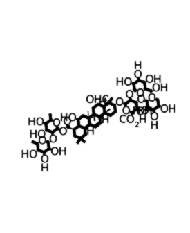 CC1OC(OC2C(OC(=O)[C@@H]3CC(C)(C)C[C@@H]4C3[C@H](O)C[C@]3(C)C4C=C[C@@H]4[C@@]5(C)CC[C@H](OC6OC(C(=O)O)C(O)C(OC7OCC(O)C(O)C7O)C6OC6OC(CO)C(O)C(O)C6O)[C@@](C)(C=O)[C@@H]5CC[C@]43C)OC(C)C(O)C2O)C(O)C(O)C1O